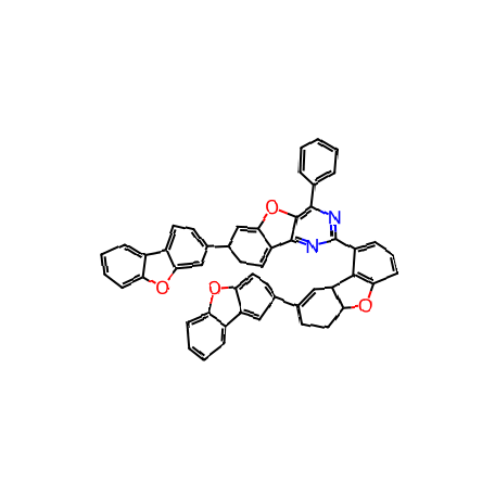 C1=C(c2ccc3oc4ccccc4c3c2)CCC2Oc3cccc(-c4nc(-c5ccccc5)c5oc6c(c5n4)=CCC(c4ccc5c(c4)oc4ccccc45)C=6)c3C12